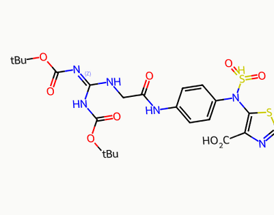 CC(C)(C)OC(=O)/N=C(/NCC(=O)Nc1ccc(N(c2scnc2C(=O)O)[SH](=O)=O)cc1)NC(=O)OC(C)(C)C